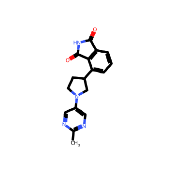 Cc1ncc(N2CCC(c3cccc4c3C(=O)NC4=O)C2)cn1